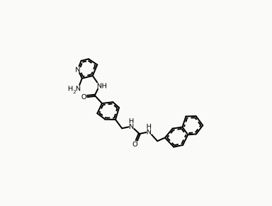 Nc1ncccc1NC(=O)c1ccc(CNC(=O)NCc2ccc3ccccc3c2)cc1